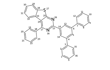 c1ccc(-c2cc(-c3ccccc3)cc(-c3nc(-c4ccccc4)c4c(n3)sc3ccccc34)c2)cc1